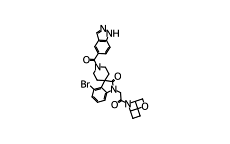 O=C(c1ccc2[nH]ncc2c1)N1CCC2(CC1)C(=O)N(CC(=O)N1C3CCC34OCC14)c1cccc(Br)c12